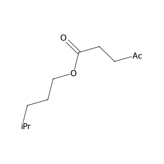 CC(=O)CCC(=O)OCCCC(C)C